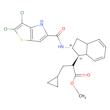 COC(=O)C(CC1CC1)[C@@H]1C2C=CC=CC2C[C@H]1NC(=O)c1cc2sc(Cl)c(Cl)c2[nH]1